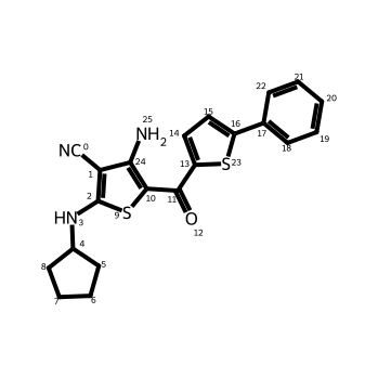 N#Cc1c(NC2CCCC2)sc(C(=O)c2ccc(-c3ccccc3)s2)c1N